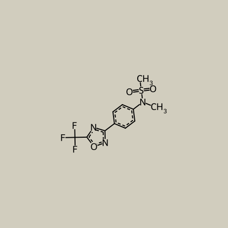 CN(c1ccc(-c2noc(C(F)(F)F)n2)cc1)S(C)(=O)=O